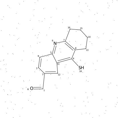 O=Cc1ccc2nc3c(c(S)c2c1)CCCC3